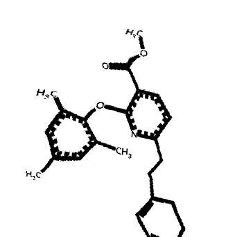 COC(=O)c1ccc(CCC2=CC=CCC2)nc1Oc1c(C)cc(C)cc1C